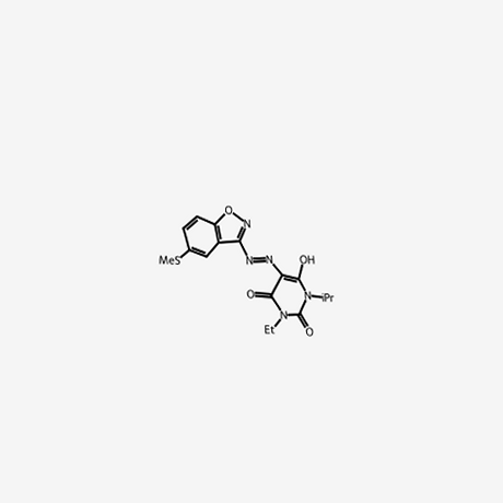 CCn1c(=O)c(N=Nc2noc3ccc(SC)cc23)c(O)n(C(C)C)c1=O